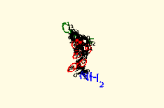 CC(C)(N)CCS(=O)(=O)CC[C@@H]1OCC[C@@]2(S(=O)(=O)c3ccc(Cl)cc3)c3c(F)ccc(F)c3OC[C@@H]12